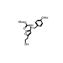 COc1ccc(C[C@H](NC(=O)OC(C)(C)C)c2cc(CCO)on2)cc1